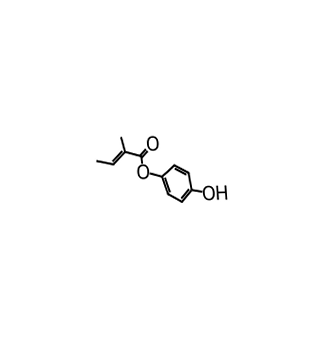 CC=C(C)C(=O)Oc1ccc(O)cc1